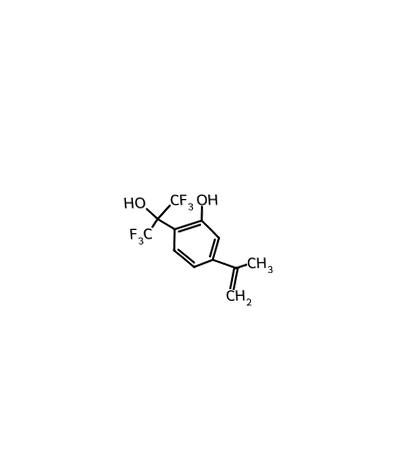 C=C(C)c1ccc(C(O)(C(F)(F)F)C(F)(F)F)c(O)c1